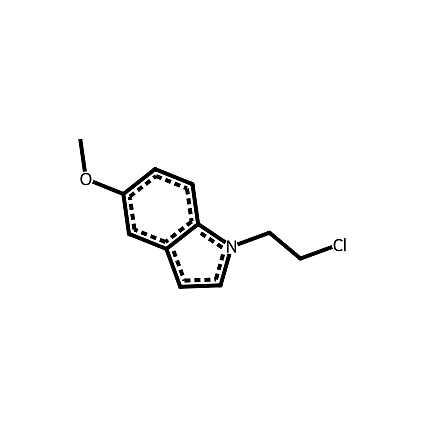 COc1ccc2c(ccn2CCCl)c1